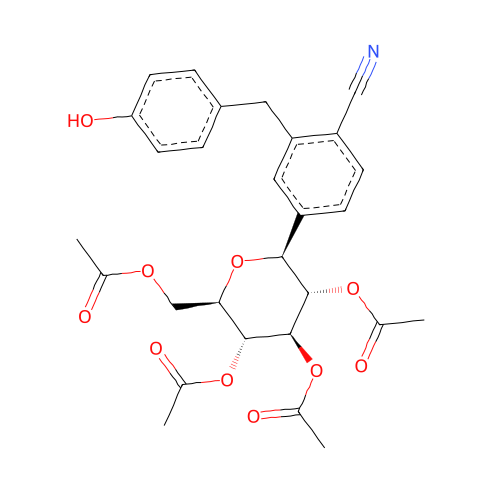 CC(=O)OC[C@H]1O[C@@H](c2ccc(C#N)c(Cc3ccc(O)cc3)c2)[C@H](OC(C)=O)[C@@H](OC(C)=O)[C@@H]1OC(C)=O